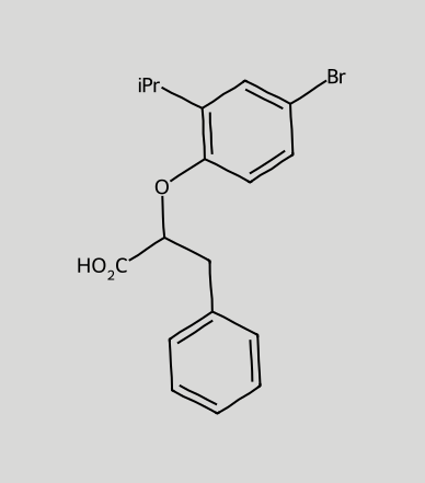 CC(C)c1cc(Br)ccc1OC(Cc1ccccc1)C(=O)O